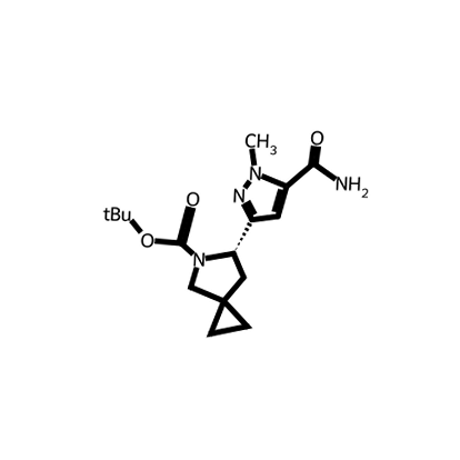 Cn1nc([C@@H]2CC3(CC3)CN2C(=O)OC(C)(C)C)cc1C(N)=O